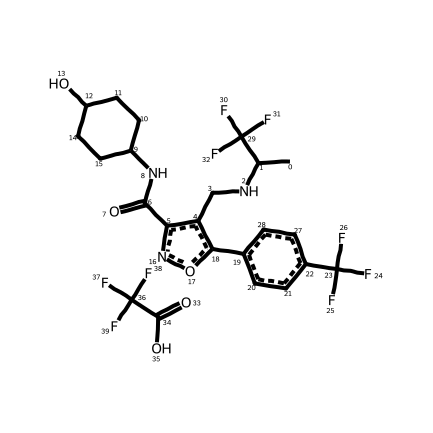 CC(NCc1c(C(=O)NC2CCC(O)CC2)noc1-c1ccc(C(F)(F)F)cc1)C(F)(F)F.O=C(O)C(F)(F)F